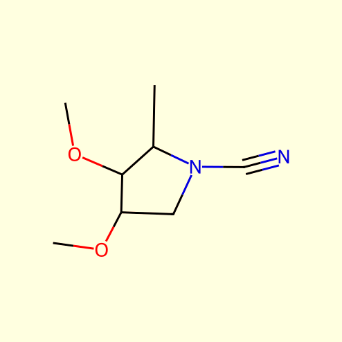 COC1CN(C#N)C(C)C1OC